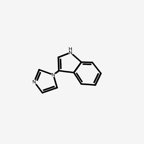 c1ccc2c(-n3ccnc3)c[nH]c2c1